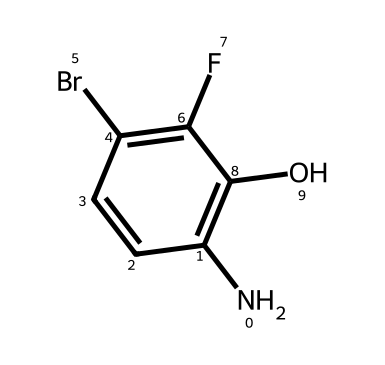 Nc1ccc(Br)c(F)c1O